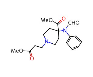 COC(=O)CCN1CCC(C(=O)OC)(N(C=O)c2ccccc2)CC1